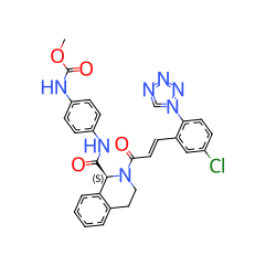 COC(=O)Nc1ccc(NC(=O)[C@@H]2c3ccccc3CCN2C(=O)C=Cc2cc(Cl)ccc2-n2cnnn2)cc1